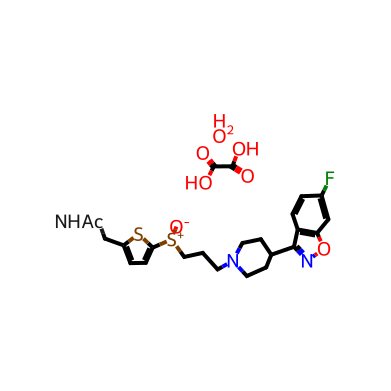 CC(=O)NCc1ccc([S+]([O-])CCCN2CCC(c3noc4cc(F)ccc34)CC2)s1.O.O=C(O)C(=O)O